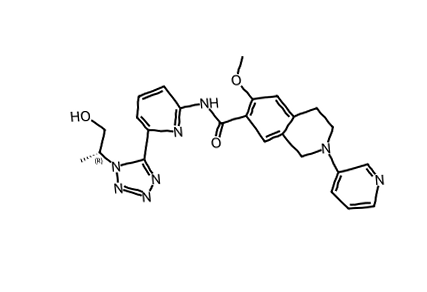 COc1cc2c(cc1C(=O)Nc1cccc(-c3nnnn3[C@H](C)CO)n1)CN(c1cccnc1)CC2